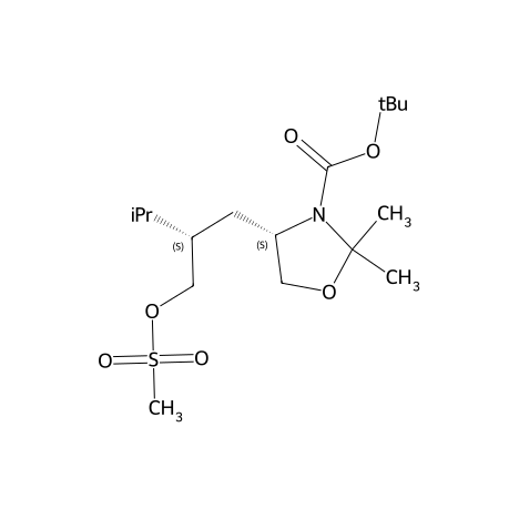 CC(C)[C@@H](COS(C)(=O)=O)C[C@H]1COC(C)(C)N1C(=O)OC(C)(C)C